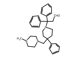 CN1CCN(CC2(c3ccccc3)CCN(C(CC=O)(c3ccccc3)c3ccccc3)CC2)CC1